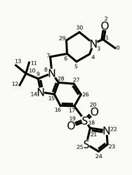 CC(=O)N1CCC(Cn2c(C(C)(C)C)nc3cc(S(=O)(=O)c4nccs4)ccc32)CC1